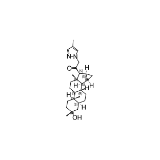 Cc1cnn(CC(=O)[C@H]2[C@H]3C[C@H]3[C@H]3[C@@H]4CC[C@H]5C[C@](C)(O)CC[C@]5(C)[C@H]4CC[C@@]32C)c1